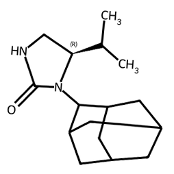 CC(C)[C@@H]1CNC(=O)N1C1C2CC3CC(C2)CC1C3